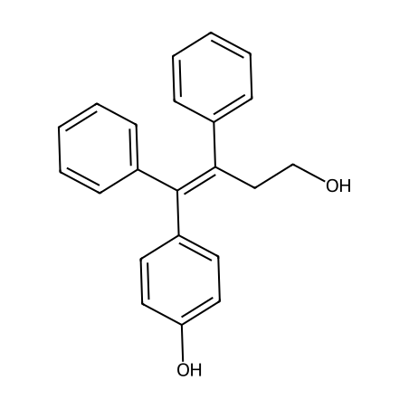 OCCC(=C(c1ccccc1)c1ccc(O)cc1)c1ccccc1